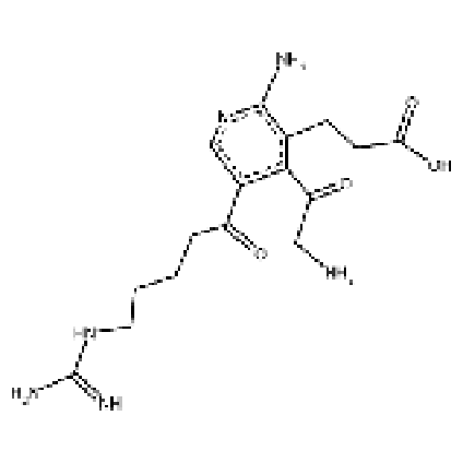 N=C(N)NCCCCC(=O)c1cnc(N)c(CCC(=O)O)c1C(=O)CN